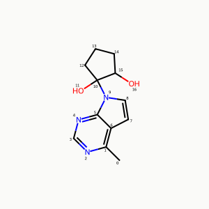 Cc1ncnc2c1ccn2C1(O)CCCC1O